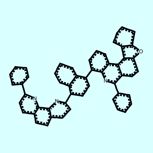 c1ccc(-c2ccc3ccc4ccc(-c5ccc(-c6cccc7c6nc(-c6ccccc6)c6ccc8oc9ccccc9c8c67)c6ccccc56)nc4c3n2)cc1